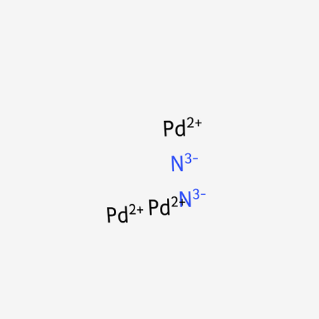 [N-3].[N-3].[Pd+2].[Pd+2].[Pd+2]